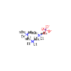 CCCC[N+](CC)(CC)CCCC.CCCC[N+](CC)(CC)CCCC.CCCC[N+](CC)(CC)CCCC.O=P([O-])([O-])[O-]